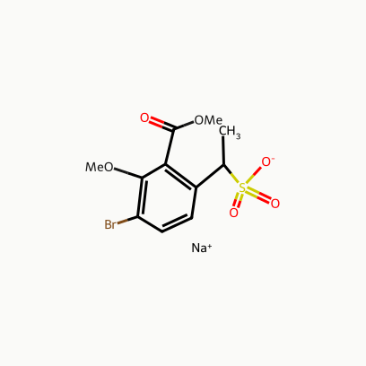 COC(=O)c1c(C(C)S(=O)(=O)[O-])ccc(Br)c1OC.[Na+]